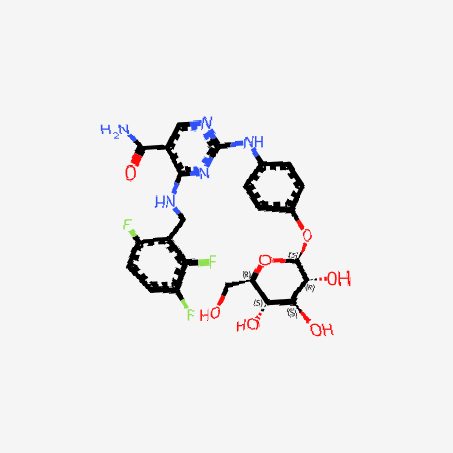 NC(=O)c1cnc(Nc2ccc(O[C@@H]3O[C@H](CO)[C@@H](O)[C@H](O)[C@H]3O)cc2)nc1NCc1c(F)ccc(F)c1F